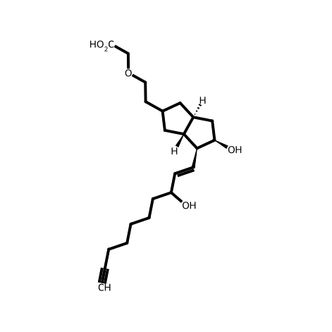 C#CCCCCCC(O)C=C[C@H]1[C@@H]2CC(CCOCC(=O)O)C[C@H]2C[C@H]1O